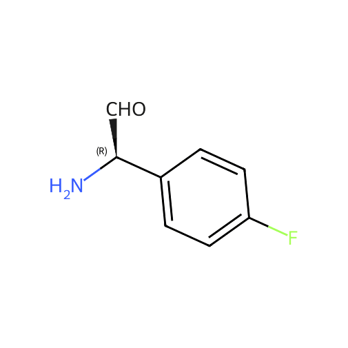 N[C@@H](C=O)c1ccc(F)cc1